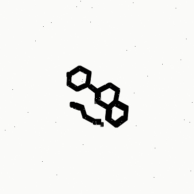 CCC=O.c1ccc2c(c1)CCC(N1CCOCC1)=N2